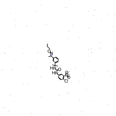 CCCO/N=C(\C)c1cccc(C(C)(C)NC(=O)Nc2ccc(Cl)c([N+](=O)[O-])c2)c1